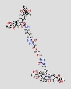 COC(=O)[N+](CCCCCCNC(=O)NCCOCCOCCNC(=O)NCCCCCCNC(=O)OC(c1ccc(C(=O)C(C)(C)O)cc1)c1ccc(C(=O)C(C)(C)O)cc1)(c1ccc(C(=O)C(C)(C)O)cc1)c1ccc(C(=O)C(C)(C)O)cc1